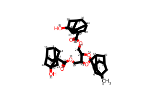 CC12CC3CC(C1)C1(OC(COC(=O)C45CC6CC(CC(O)(C6)C4)C5)C(COC(=O)C45CC6CC(CC(O)(C6)C4)C5)O1)C(C3)C2